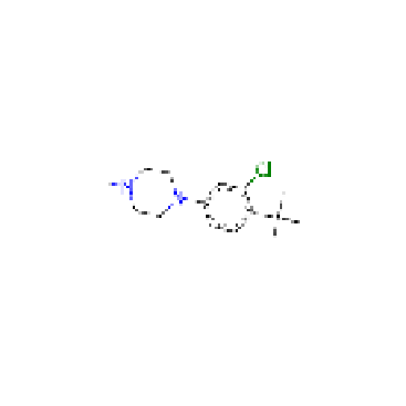 CN1CCN(c2ccc(C(C)(C)C)c(Cl)c2)CC1